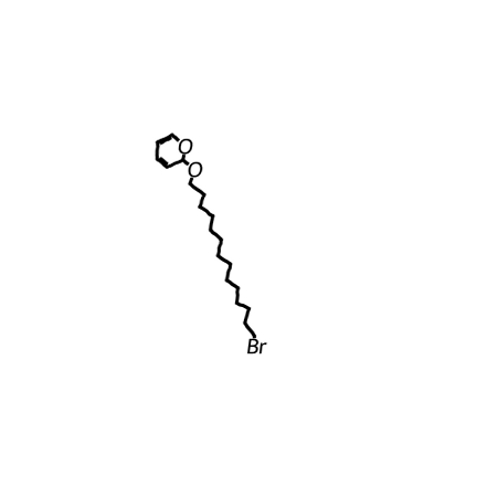 BrCCCCCCCCCCCCCCOC1C=CC=CO1